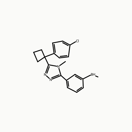 CBc1cccc(-c2nnc(C3(c4ccc(Cl)cc4)CCC3)n2C)c1